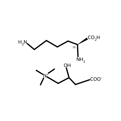 C[N+](C)(C)CC(O)CC(=O)[O-].NCCCC[C@H](N)C(=O)O